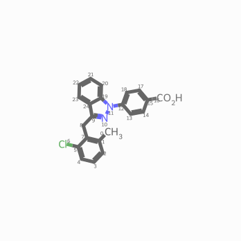 Cc1cccc(Cl)c1Cc1nn(-c2ccc(C(=O)O)cc2)c2ccccc12